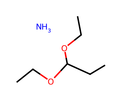 CCOC(CC)OCC.N